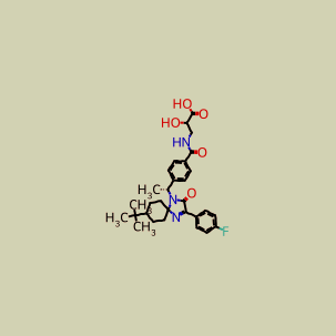 C[C@H](c1ccc(C(=O)NCC(O)C(=O)O)cc1)N1C(=O)C(c2ccc(F)cc2)=NC12CCC(C(C)(C)C)CC2